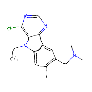 Cc1cc2c(cc1CN(C)C)c1ncnc(Cl)c1n2CC(F)(F)F